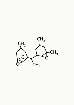 CC1CC(C(C)C2CC(C)CC3(C)OC23)C2OC2(C)C1